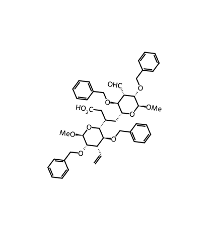 C=C[C@@H]1[C@H](OCc2ccccc2)[C@@H](OC)O[C@H](C(CC(=O)O)C[C@H]2O[C@H](OC)[C@@H](OCc3ccccc3)[C@@H](C=O)[C@@H]2OCc2ccccc2)[C@H]1OCc1ccccc1